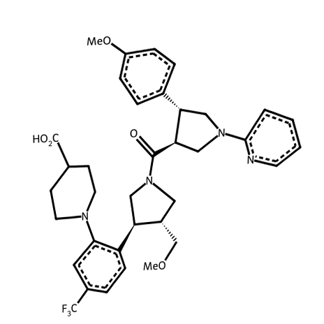 COC[C@H]1CN(C(=O)[C@@H]2CN(c3ccccn3)C[C@H]2c2ccc(OC)cc2)C[C@@H]1c1ccc(C(F)(F)F)cc1N1CCC(C(=O)O)CC1